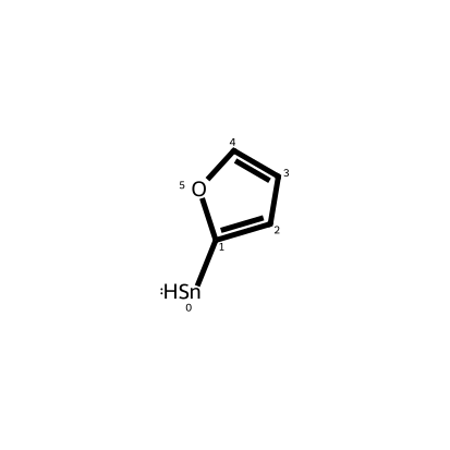 [SnH][c]1ccco1